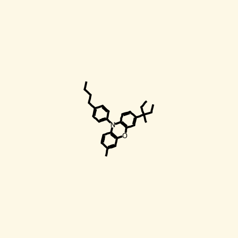 CCCCc1ccc(N2c3ccc(C)cc3Oc3cc(C(C)(CC)CC)ccc32)cc1